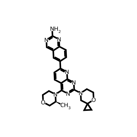 C[C@H]1COCCN1c1nc(N2CCOC3(CC3)C2)nc2nc(-c3ccc4nc(N)ncc4c3)ccc12